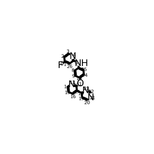 Fc1ccnc(Nc2ccc(Oc3ncccc3-c3ccncn3)cc2)c1